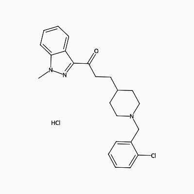 Cl.Cn1nc(C(=O)CCC2CCN(Cc3ccccc3Cl)CC2)c2ccccc21